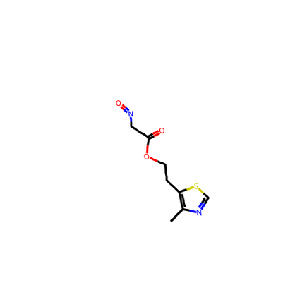 Cc1ncsc1CCOC(=O)CN=O